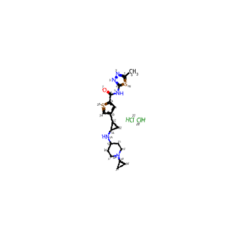 Cc1nnc(NC(=O)c2cc(C3CC3NC3CCN(C4CC4)CC3)cs2)s1.Cl.Cl